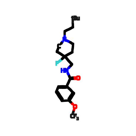 CC(C)(C)CCN1CCC(F)(CNC(=O)c2cccc(OC(F)(F)F)c2)CC1